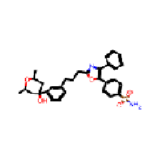 CC1CC(O)(c2cccc(CCCc3nc(-c4ccccc4)c(-c4ccc(S(N)(=O)=O)cc4)o3)c2)CC(C)O1